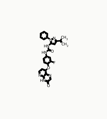 C=C(C)c1cc(NC(=O)Nc2ccc(Oc3ccnc4[nH]c(=O)cnc34)c(F)c2)n(-c2ccccc2)n1